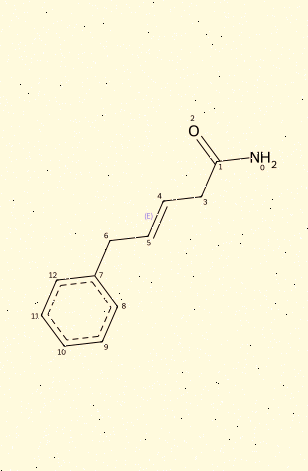 NC(=O)C/C=C/Cc1ccccc1